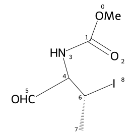 COC(=O)NC(C=O)[C@@H](C)I